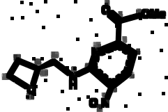 COC(=O)c1ccc([N+](=O)[O-])c(NC[C@@H]2CCO2)n1